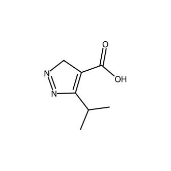 CC(C)C1=C(C(=O)O)CN=N1